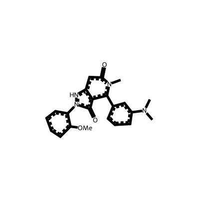 COc1ccccc1-n1[nH]c2cc(=O)n(C)c(-c3cccc(N(C)C)c3)c2c1=O